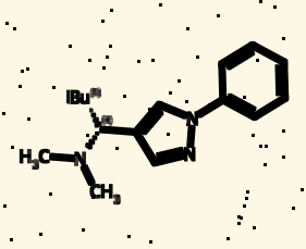 CC[C@@H](C)[C@H](c1cnn(-c2ccccc2)c1)N(C)C